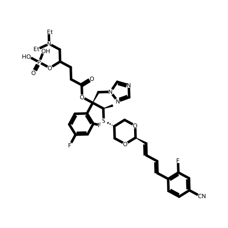 CCN(CC)CC(CCC(=O)O[C@@](Cn1cncn1)(c1ccc(F)cc1F)[C@@H](C)S[C@H]1CO[C@H](/C=C/C=C/c2ccc(C#N)cc2F)OC1)OP(=O)(O)O